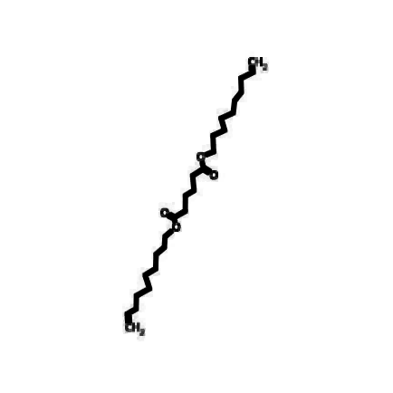 C=CCCCCCCCCOC(=O)CCCCC(=O)OCCCCCCCCC=C